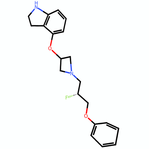 F[C@@H](COc1ccccc1)CN1CC(Oc2cccc3c2CCN3)C1